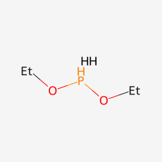 CCOPOCC.[HH]